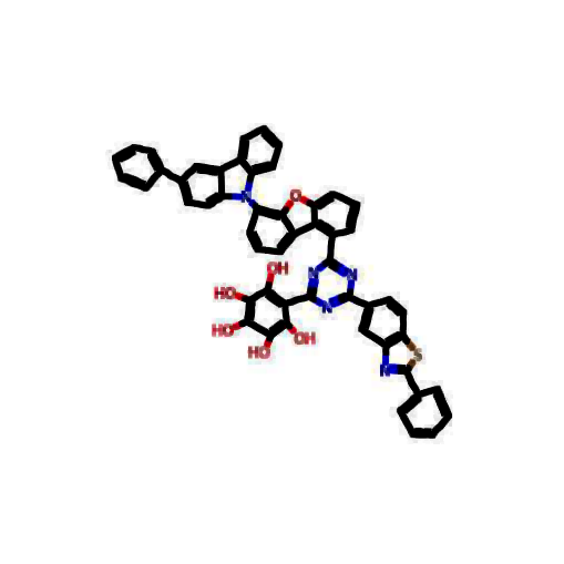 Oc1c(O)c(O)c(-c2nc(-c3ccc4sc(-c5ccccc5)nc4c3)nc(-c3cccc4oc5c(-n6c7ccccc7c7cc(-c8ccccc8)ccc76)cccc5c34)n2)c(O)c1O